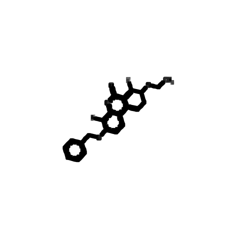 CCOC1CC=c2c(c(=O)oc3c(F)c(OCc4ccccc4)ccc23)=C1F